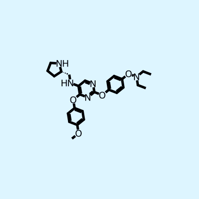 CCN(CC)Oc1ccc(Oc2ncc(NC[C@@H]3CCCN3)c(Oc3ccc(OC)cc3)n2)cc1